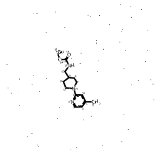 Cc1ccnc(N2CCC(CNC(=O)OC(C)(C)C)CC2)c1